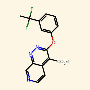 CCOC(=O)c1c(Oc2cccc(C(C)(F)F)c2)nnc2cnccc12